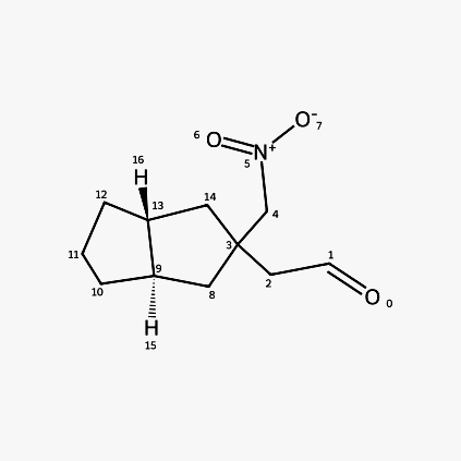 O=CCC1(C[N+](=O)[O-])C[C@H]2CCC[C@@H]2C1